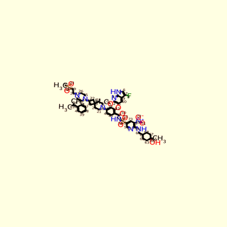 COc1nc2[nH]cc(F)c2cc1Oc1cc(N2CCC3(CC2)CC(N2CCN(CCS(C)(=O)=O)C[C@H]2c2ccccc2C(C)C)C3)ccc1C(=O)NS(=O)(=O)c1cnc(NCC2CCC(C)(O)CC2)c([N+](=O)[O-])c1